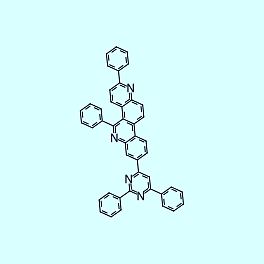 c1ccc(-c2cc(-c3ccc4c(c3)nc(-c3ccccc3)c3c5ccc(-c6ccccc6)nc5ccc43)nc(-c3ccccc3)n2)cc1